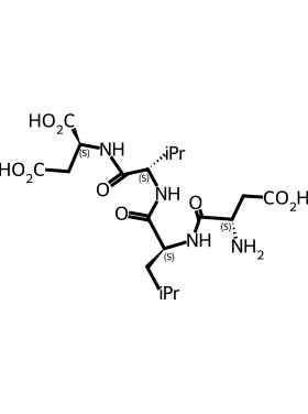 CC(C)C[C@H](NC(=O)[C@@H](N)CC(=O)O)C(=O)N[C@H](C(=O)N[C@@H](CC(=O)O)C(=O)O)C(C)C